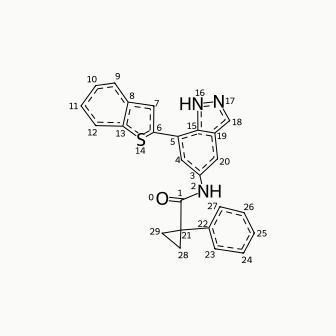 O=C(Nc1cc(-c2cc3ccccc3s2)c2[nH]ncc2c1)C1(c2ccccc2)CC1